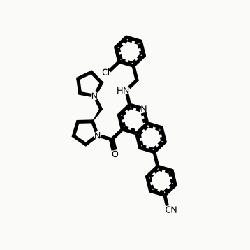 N#Cc1ccc(-c2ccc3nc(NCc4ccccc4Cl)cc(C(=O)N4CCC[C@H]4CN4CCCC4)c3c2)cc1